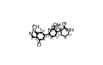 Cn1ncc2c(Cl)cc(-c3ccc(C4(C)CCCNC4=O)c(O)n3)cc21